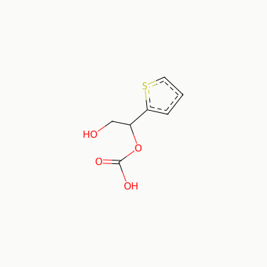 O=C(O)OC(CO)c1cccs1